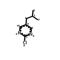 CC(C)Cc1cnc(Cl)nc1